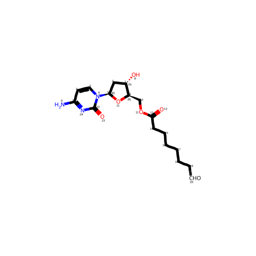 Nc1ccn([C@H]2C[C@H](O)[C@@H](COC(=O)CCCCCCC=O)O2)c(=O)n1